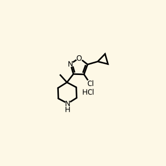 CC1(c2noc(C3CC3)c2Cl)CCNCC1.Cl